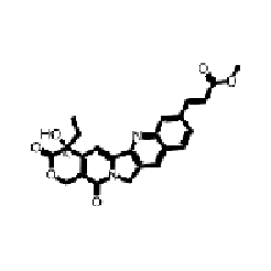 CC[C@@]1(O)C(=O)OCc2c1cc1n(c2=O)Cc2cc3ccc(C=CC(=O)OC)cc3nc2-1